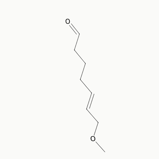 COCC=CCCCC=O